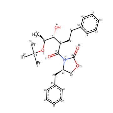 CC(C)[Si](O[C@@H](C)[C@H](O)[C@@H](CCc1ccccc1)C(=O)N1C(=O)OC[C@H]1Cc1ccccc1)(C(C)C)C(C)C